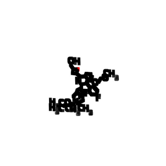 COCCOc1cc(F)cc(F)c1-c1c(-c2cc3n(n2)C[C@@H](C)N(C(=O)OC(C)(C)C)C3)nc(C23CC(CO)(C2)C3)c2ccsc12